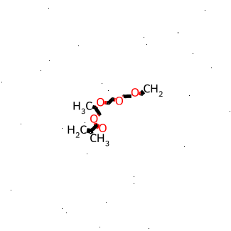 C=COCCOCCOC(C)COC(=O)C(=C)C